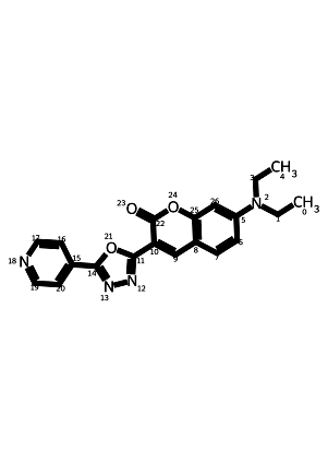 CCN(CC)c1ccc2cc(-c3nnc(-c4ccncc4)o3)c(=O)oc2c1